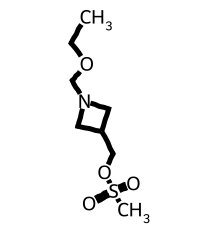 CCOCN1CC(COS(C)(=O)=O)C1